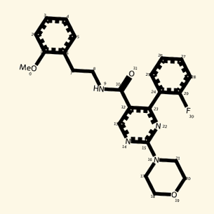 COc1ccccc1CCNC(=O)c1cnc(N2CCOCC2)nc1-c1ccccc1F